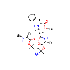 CC(C)C(NC(=O)C(C)(C)C(C)(C)N[C@@H](Cc1ccccc1)C(=O)OC(C)(C)C)C(=O)OC(C)(N)CCC(C)(C)OC(=O)[C@@H](NC(C)(C)C)C(C)C